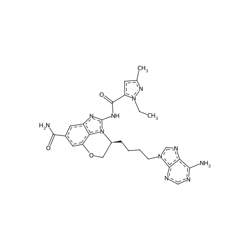 CCn1nc(C)cc1C(=O)Nc1nc2cc(C(N)=O)cc3c2n1[C@@H](CCCCn1cnc2c(N)ncnc21)CO3